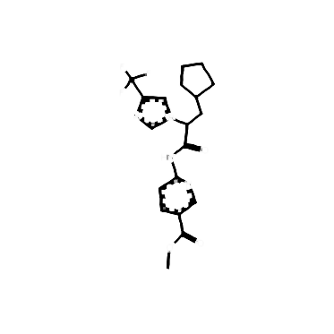 COC(=O)c1ccc(NC(=O)C(CC2CCCC2)n2cnc(C(F)(F)F)c2)nc1